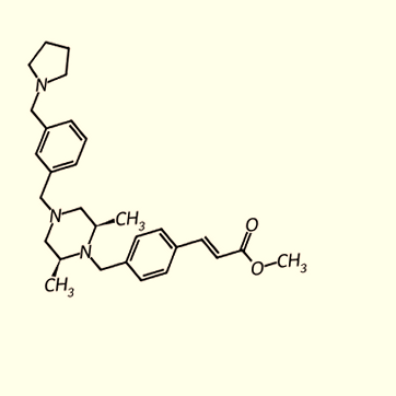 COC(=O)C=Cc1ccc(CN2[C@H](C)CN(Cc3cccc(CN4CCCC4)c3)C[C@@H]2C)cc1